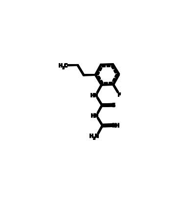 CCCc1cccc(F)c1NC(=S)NC(=N)N